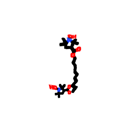 CCC(CCCCCCCOC(=O)C1CC(C)(C)N(O)C1(C)C)OC(=O)C1CC(C)(C)N(O)C1(C)C